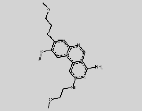 COCCNc1cc2c(cnc3cc(OCCOC)c(OC)cc32)c(N)n1